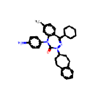 Cc1ccc2c(c1)N(c1ccc(N)cc1)C(=O)N(C1CCc3ccccc3CC1)N=C2C1CCCCC1